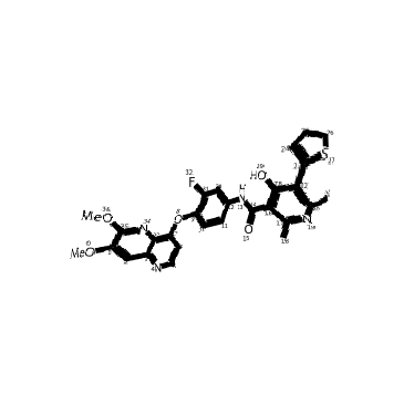 COc1cc2nccc(Oc3ccc(NC(=O)c4c(C)nc(C)c(-c5cccs5)c4O)cc3F)c2nc1OC